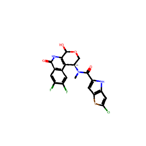 CN(C(=O)c1cc2sc(Cl)cc2[nH]1)[C@@H]1COC(O)c2[nH]c(=O)c3cc(F)c(F)cc3c21